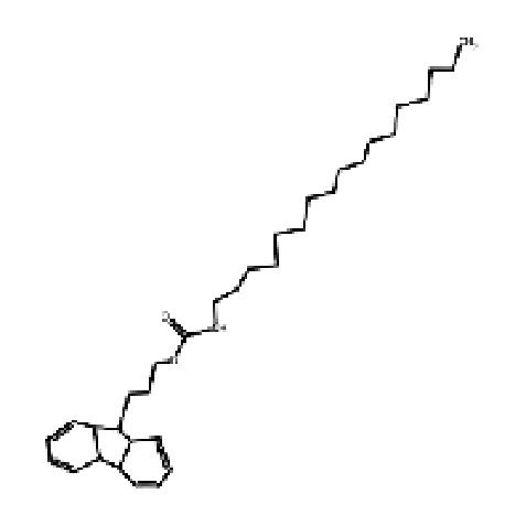 CCCCCCCCCCCCCCCCCNC(=O)OCCCC1C2C=CC=CC2C2C=CC=CC21